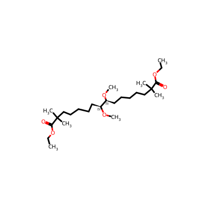 CCOC(=O)C(C)(C)CCCCC[C@H](OC)[C@H](CCCCCC(C)(C)C(=O)OCC)OC